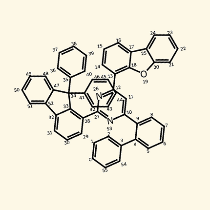 c1ccc(-c2ccccc2-c2cc(-c3cccc4c3oc3ccccc34)nc(-c3cccc4c3C(c3ccccc3)(c3ccccc3)c3ccccc3-4)n2)cc1